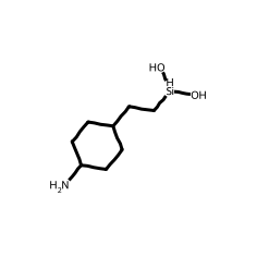 NC1CCC(CC[SiH](O)O)CC1